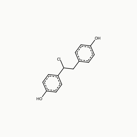 Oc1ccc(CC(Cl)c2ccc(O)cc2)cc1